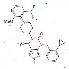 COc1nccc(C(F)F)c1N1CCC(N2C(=O)N(Cc3ccccc3C3CC3)c3n[nH]cc3C2C)CC1